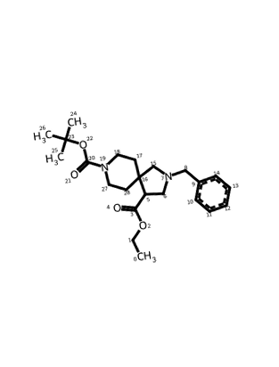 CCOC(=O)C1CN(Cc2ccccc2)CC12CCN(C(=O)OC(C)(C)C)CC2